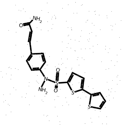 NC(=O)/C=C/c1ccc(N(N)S(=O)(=O)c2ccc(-c3cccs3)s2)cc1